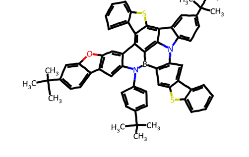 CC(C)(C)c1ccc(N2B3c4cc5sc6ccccc6c5cc4-n4c5ccc(C(C)(C)C)cc5c5c6sc7ccccc7c6c(c3c54)-c3cc4oc5cc(C(C)(C)C)ccc5c4cc32)cc1